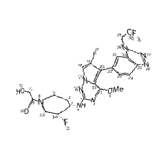 COc1nc(N[C@H]2CCN(C(=O)CO)C[C@H]2F)nn2cc(F)c(-c3ccc4nnn(CC(F)(F)F)c4c3)c12